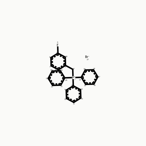 Fc1cccc(C[P+](c2ccccc2)(c2ccccc2)c2ccccc2)c1.[Br-]